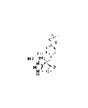 CC(C)(C)OC(Cc1ccc(OC(F)(F)F)cc1)(C(=O)O)c1nn[nH]n1